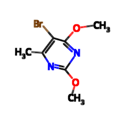 COc1nc(C)c(Br)c(OC)n1